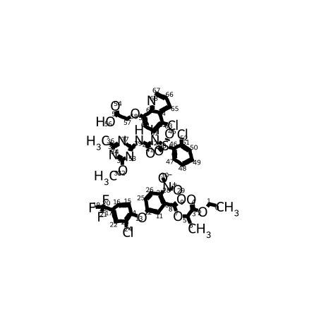 CCOC(=O)C(C)OC(=O)c1cc(Oc2ccc(C(F)(F)F)cc2Cl)ccc1[N+](=O)[O-].COc1nc(C)nc(NC(=O)NS(=O)(=O)c2ccccc2Cl)n1.O=C(O)COc1ccc(Cl)c2cccnc12